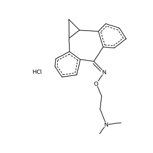 CN(C)CCON=C1c2ccccc2C2CC2c2ccccc21.Cl